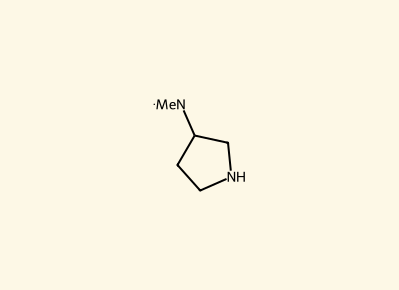 C[N]C1CCNC1